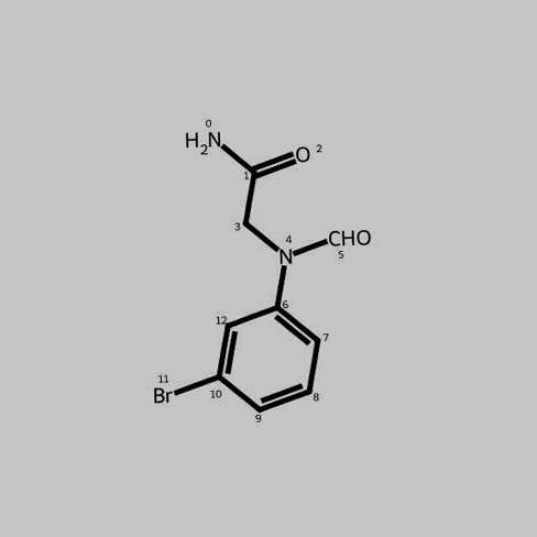 NC(=O)CN(C=O)c1cccc(Br)c1